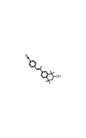 C/C(=C\c1ccc(C#N)cc1)c1ccc2c(c1)C(C)(C)C(O)CC2(C)C